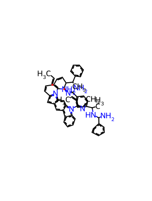 C/C=C\C=C/c1cc2cc3c4ccccc4n(C(/C=C\C)=N/C(C)C(C)NC(N)c4ccccc4)c3cc2n1/C(N)=C/C=C\C(C/N=C(\N)c1ccccc1)C(C)c1ccccc1